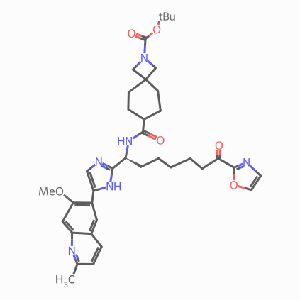 COc1cc2nc(C)ccc2cc1-c1cnc([C@H](CCCCCC(=O)c2ncco2)NC(=O)C2CCC3(CC2)CN(C(=O)OC(C)(C)C)C3)[nH]1